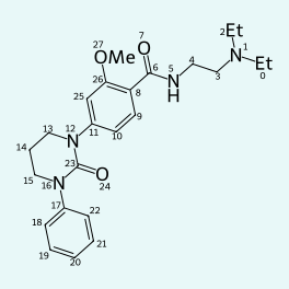 CCN(CC)CCNC(=O)c1ccc(N2CCCN(c3ccccc3)C2=O)cc1OC